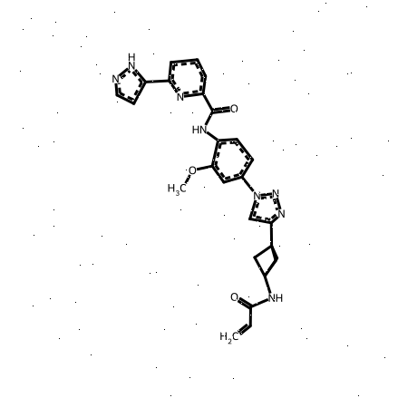 C=CC(=O)NC12CC(c3cn(-c4ccc(NC(=O)c5cccc(-c6ccn[nH]6)n5)c(OC)c4)nn3)(C1)C2